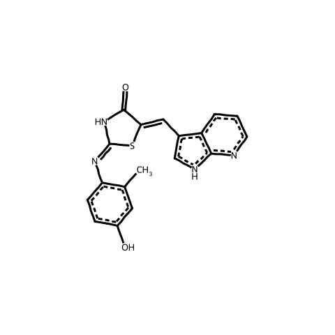 Cc1cc(O)ccc1/N=C1/NC(=O)/C(=C/c2c[nH]c3ncccc23)S1